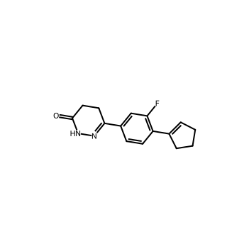 O=C1CCC(c2ccc(C3=CCCC3)c(F)c2)=NN1